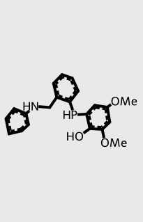 COc1cc(OC)c(O)c(Pc2ccccc2CNc2ccccc2)c1